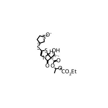 CCOC(=O)OC(C)OC(=O)[C@]1([C@@H](C)O)C(=O)N2C=C(S[C@H]3CC[S@@+]([O-])C3)S[C@@H]21